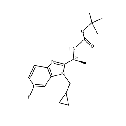 C[C@H](NC(=O)OC(C)(C)C)c1nc2ccc(F)cc2n1CC1CC1